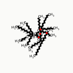 CCCCCCCCCCC(CCCCCCCC)C(CCCCCCCC)(CCCCCCCC)OC(=O)CC(O)(CC(=O)OC(CCCCCCCC)(CCCCCCCC)C(CCCCCCCC)CCCCCCCCCC)C(=O)OC(CCCCCCCC)(CCCCCCCC)C(CCCCCCCC)CCCCCCCCCC